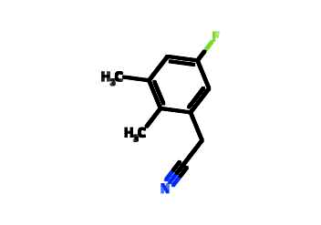 Cc1cc(F)cc(CC#N)c1C